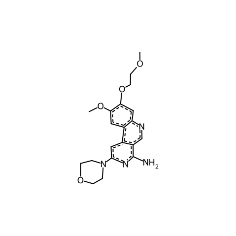 COCCOc1cc2ncc3c(N)nc(N4CCOCC4)cc3c2cc1OC